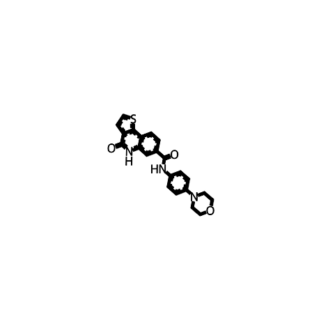 O=C(Nc1ccc(N2CCOCC2)cc1)c1ccc2c(c1)[nH]c(=O)c1ccsc12